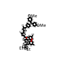 CCOP(=O)(OCC)c1c[n+]2c(s1)-c1sc(-c3cc(C)c(-c4cc(C)c(-c5ccc(N(c6ccc(OC)cc6)c6ccc(OC)cc6)cc5)s4)s3)cc1[B-]2(c1c(C)cc(C)cc1C)c1c(C)cc(C)cc1C